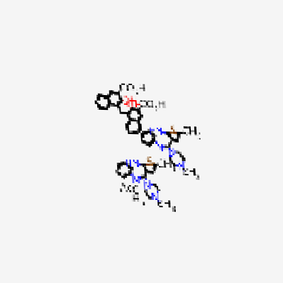 CC(C)=O.Cc1cc2c(s1)Nc1ccccc1N=C2N1CCN(C)CC1.Cc1cc2c(s1)Nc1ccccc1N=C2N1CCN(C)CC1.O=C(O)c1cc2ccccc2c(Cc2c(O)c(C(=O)O)cc3ccccc23)c1O